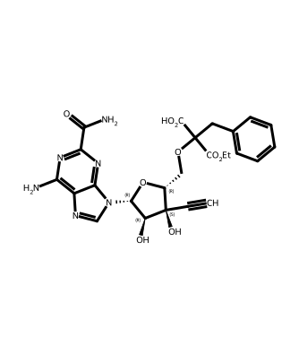 C#C[C@@]1(O)[C@@H](COC(Cc2ccccc2)(C(=O)O)C(=O)OCC)O[C@@H](n2cnc3c(N)nc(C(N)=O)nc32)[C@@H]1O